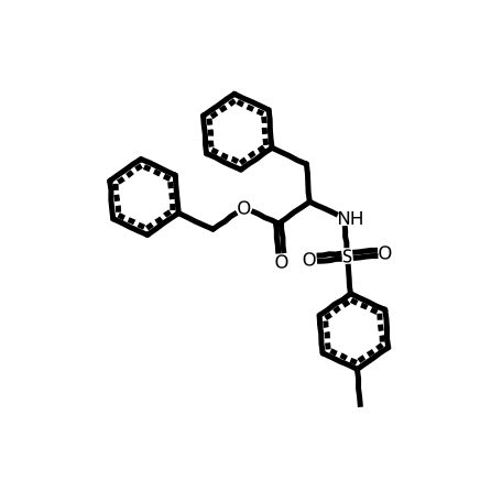 Cc1ccc(S(=O)(=O)NC(Cc2ccccc2)C(=O)OCc2ccccc2)cc1